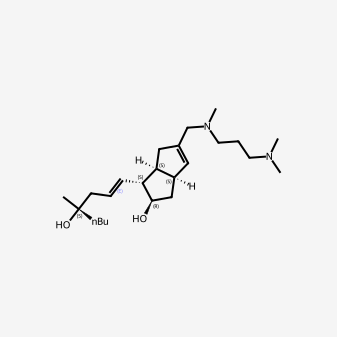 CCCC[C@](C)(O)C/C=C/[C@@H]1[C@H]2CC(CN(C)CCCN(C)C)=C[C@H]2C[C@H]1O